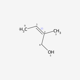 [CH2]/C=C(/C)CO